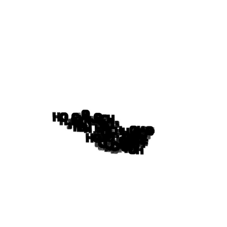 CCCCC(C)SC(CC(=O)O)C(=O)NCCC(=O)N[C@@H](C)C(=O)N[C@@H](C)C(=O)Nc1cc(Cc2ccc([C@@H]3O[C@@H]4C[C@H]5[C@@H]6C[C@H](F)C7=CC(=O)C=C[C@]7(C)[C@@]6(F)[C@@H](O)C[C@]5(C)[C@]4(C(=O)CO)O3)cc2)ccc1O